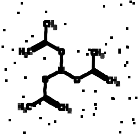 C=C(C)[O][Bi]([O]C(=C)C)[O]C(=C)C